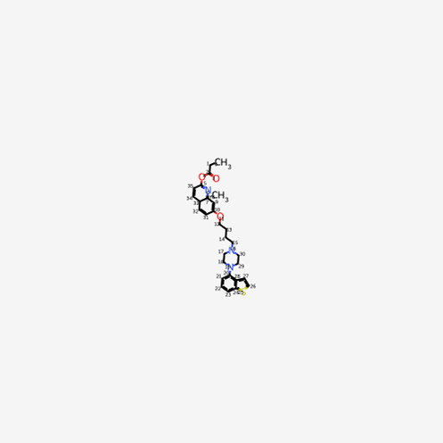 CCC(=O)OC1=N[C@@]2(C)C=C(OCCCCN3CCN(c4cccc5sccc45)CC3)C=CC2C=C1